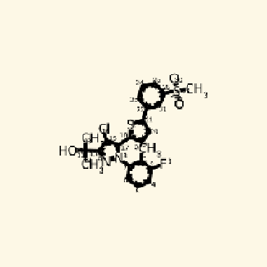 Cc1c(F)cccc1-n1nc(C(C)(C)O)c(Cl)c1-c1ccc(-c2cccc(S(C)(=O)=O)c2)s1